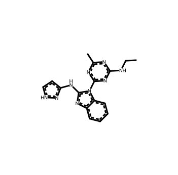 CCNc1nc(C)nc(-n2c(Nc3cc[nH]n3)nc3ccccc32)n1